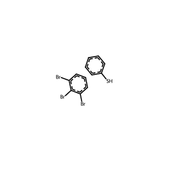 Brc1cccc(Br)c1Br.Sc1ccccc1